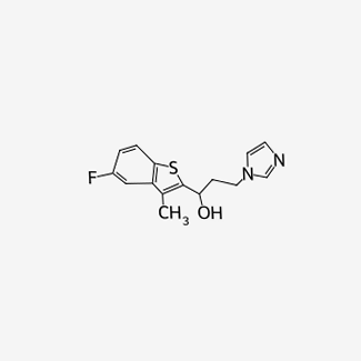 Cc1c(C(O)CCn2ccnc2)sc2ccc(F)cc12